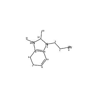 CC(C)CCN1C2=C(CCC=C2)N(C)C1C